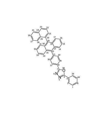 c1ccc(-c2nnc(-c3ccc(-c4c5ccccc5c(-c5cccc6ccccc56)c5ccccc45)cc3)o2)cc1